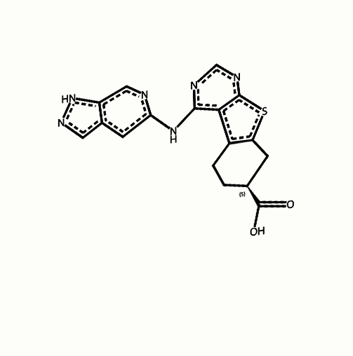 O=C(O)[C@H]1CCc2c(sc3ncnc(Nc4cc5cn[nH]c5cn4)c23)C1